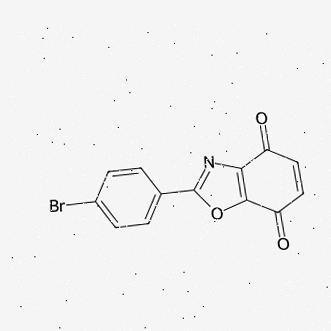 O=C1C=CC(=O)c2oc(-c3ccc(Br)cc3)nc21